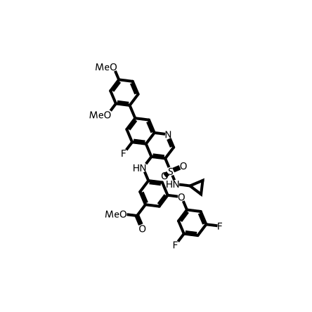 COC(=O)c1cc(Nc2c(S(=O)(=O)NC3CC3)cnc3cc(-c4ccc(OC)cc4OC)cc(F)c23)cc(Oc2cc(F)cc(F)c2)c1